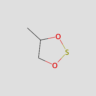 CC1COSO1